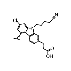 COc1cc(Cl)cc2c1c1ccc(CCC(=O)O)cc1n2CCCCC#N